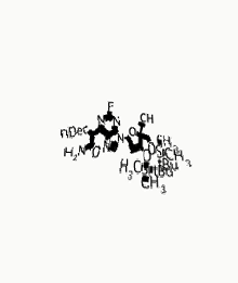 C#C[C@]1(CO[Si](C)(C)C(C)(C)C)O[C@@H](n2cnc3c(C(CCCCCCCCCC)C(N)=O)nc(F)nc32)C[C@@H]1O[Si](C)(C)C(C)(C)C